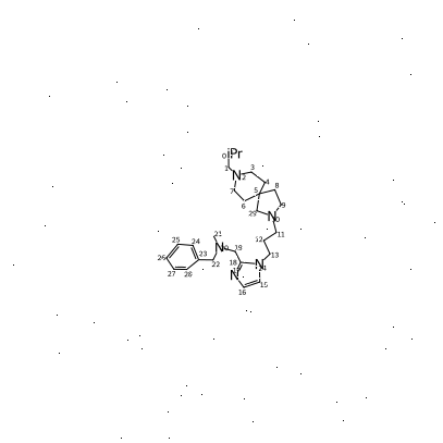 CC(C)CN1CCC2(CC1)CCN(CCCn1ccnc1CN(C)Cc1ccccc1)C2